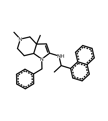 CC(NC1=CC2(C)CN(C)CCC2N1Cc1ccccc1)c1cccc2ccccc12